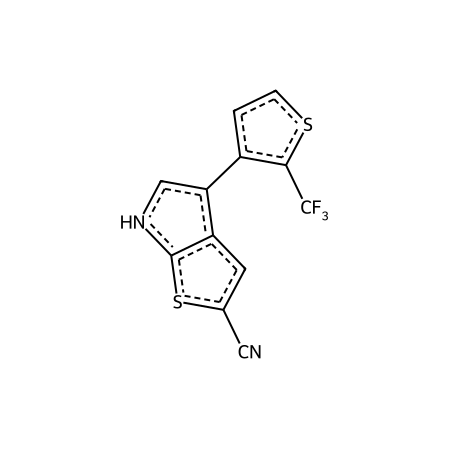 N#Cc1cc2c(-c3ccsc3C(F)(F)F)c[nH]c2s1